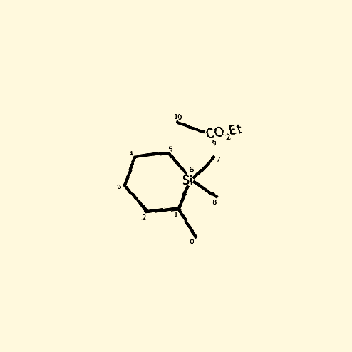 CC1CCCC[Si]1(C)C.CCOC(C)=O